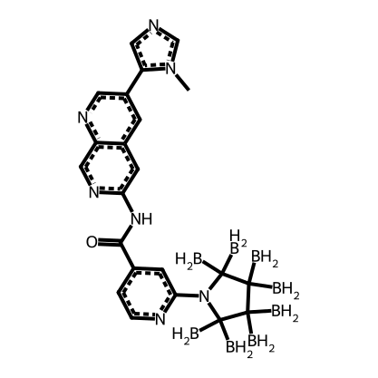 BC1(B)N(c2cc(C(=O)Nc3cc4cc(-c5cncn5C)cnc4cn3)ccn2)C(B)(B)C(B)(B)C1(B)B